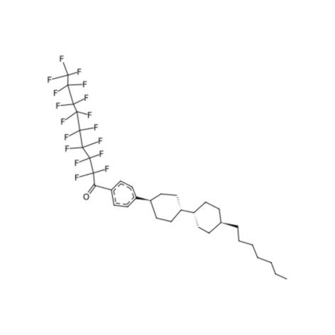 CCCCCCC[C@H]1CC[C@H]([C@H]2CC[C@H](c3ccc(C(=O)C(F)(F)C(F)(F)C(F)(F)C(F)(F)C(F)(F)C(F)(F)C(F)(F)C(F)(F)F)cc3)CC2)CC1